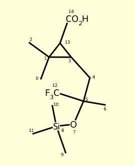 CC1(C)C(CC(C)(O[Si](C)(C)C)C(F)(F)F)C1C(=O)O